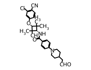 CC1(C)[C@H](NC(=O)c2ccc(N3CCC(CC=O)CC3)cc2)C(C)(C)[C@H]1Oc1ccc(C#N)c(Cl)c1